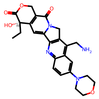 CC[C@@]1(O)C(=O)OCc2c1cc1n(c2=O)Cc2c-1nc1ccc(N3CCOCC3)cc1c2CN